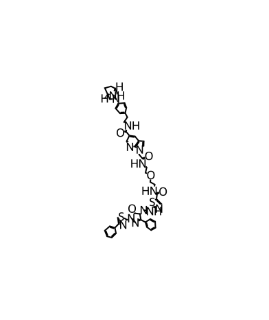 O=C(Cn1ccc2cc(C(=O)NCCc3ccc(N4C[C@H]5CC[C@@H](C4)N5)cc3)cnc21)NCCOCCNC(=O)c1cnc(N/N=C2/C(=O)N(c3nc(-c4ccccc4)cs3)N=C2c2ccccc2)s1